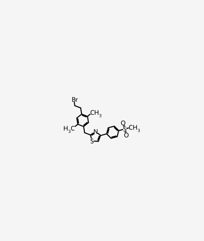 Cc1cc(Cc2nc(-c3ccc(S(C)(=O)=O)cc3)cs2)c(C)cc1CCBr